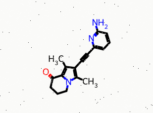 Cc1c(C#Cc2cccc(N)n2)c(C)n2c1C(=O)CCC2